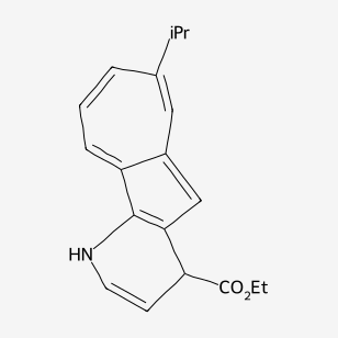 CCOC(=O)C1C=CNc2c3cccc(C(C)C)cc-3cc21